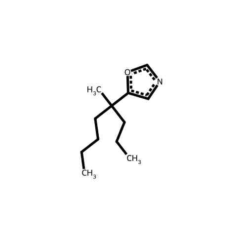 CCCCC(C)(CCC)c1cnco1